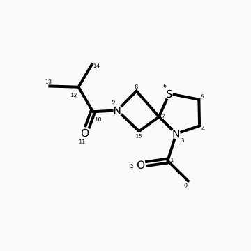 CC(=O)N1CCSC12CN(C(=O)C(C)C)C2